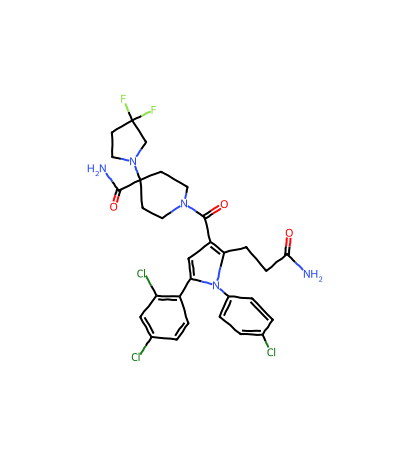 NC(=O)CCc1c(C(=O)N2CCC(C(N)=O)(N3CCC(F)(F)C3)CC2)cc(-c2ccc(Cl)cc2Cl)n1-c1ccc(Cl)cc1